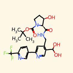 CC(C)(C)OC(=O)N1CC[C@@H](O)[C@H]1C(=O)NCc1cc(-c2ccc(C(F)(F)F)nc2)ncc1C(O)O